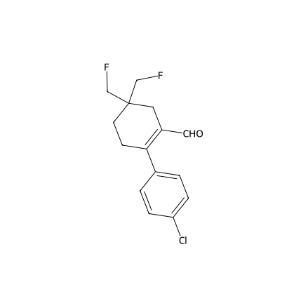 O=CC1=C(c2ccc(Cl)cc2)CCC(CF)(CF)C1